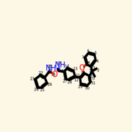 CC1(C)c2ccccc2Oc2c(-c3ccc(C(=N)OC(=N)c4ccccc4)cc3)cccc21